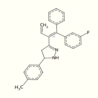 C=C/C(C1=NNC(c2ccc(C)cc2)C1)=C(\c1ccccc1)c1cccc(F)c1